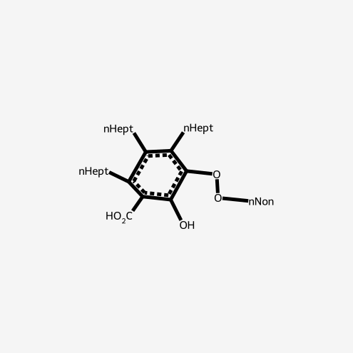 CCCCCCCCCOOc1c(O)c(C(=O)O)c(CCCCCCC)c(CCCCCCC)c1CCCCCCC